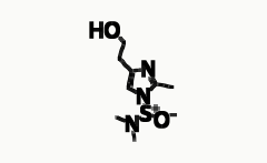 Cc1nc(CCO)cn1[S+]([O-])N(C)C